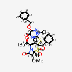 CO[C@H]1C(=O)N2C(C(=O)C(C)(C)C)=C(C)C(Cc3ccccc3)(Sc3nc(=O)c(OCc4ccccc4)nn3C)S(=O)(=O)[C@H]12